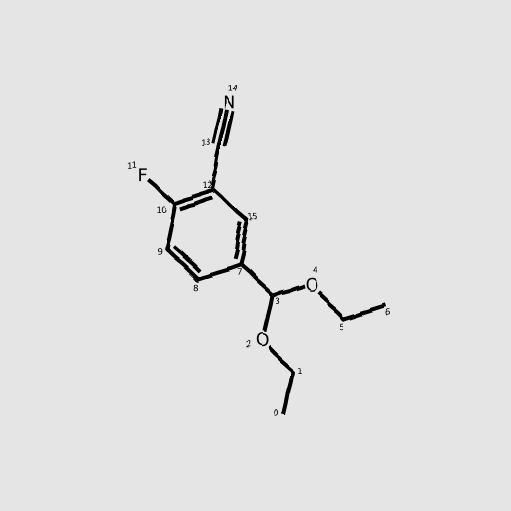 CCOC(OCC)c1ccc(F)c(C#N)c1